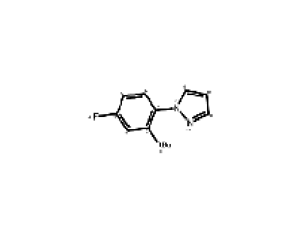 CC(C)(C)c1cc(F)ccc1-n1cccn1